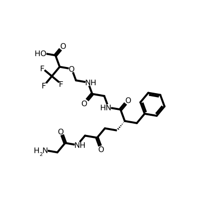 NCC(=O)NCC(=O)CC[C@@H](Cc1ccccc1)C(=O)NCC(=O)NCOC(C(=O)O)C(F)(F)F